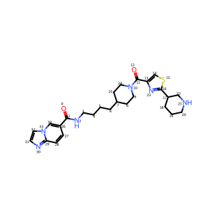 O=C(NCCCCC1CCN(C(=O)c2csc(C3CCCNC3)n2)CC1)c1ccc2nccn2c1